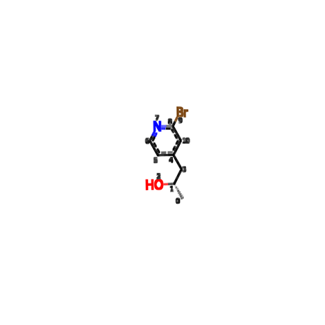 C[C@H](O)Cc1ccnc(Br)c1